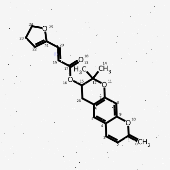 C=C1C=Cc2cc3c(cc2O1)OC(C)(C)C(OC(=O)/C=C/C1=CCCO1)C3